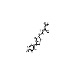 O=C(NCCN1CC2CC(c3ccc(F)cc3)C2C1)C1CC1